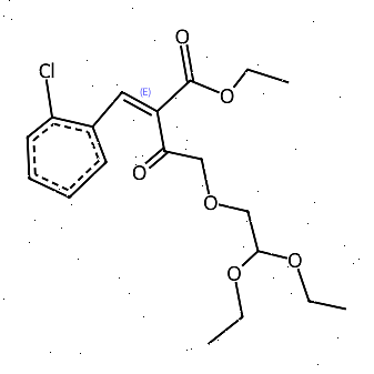 CCOC(=O)/C(=C/c1ccccc1Cl)C(=O)COCC(OCC)OCC